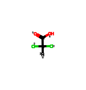 [2H]C(Cl)(Cl)C(=O)O